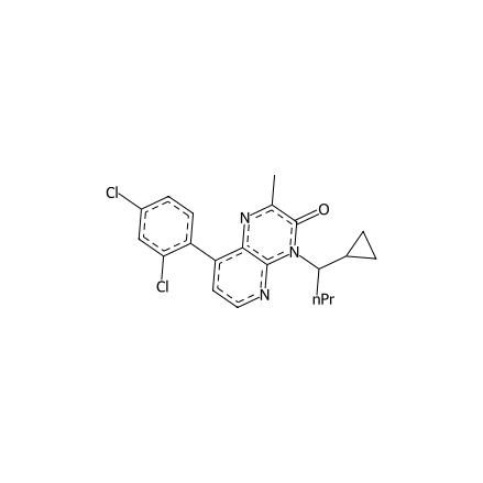 CCCC(C1CC1)n1c(=O)c(C)nc2c(-c3ccc(Cl)cc3Cl)ccnc21